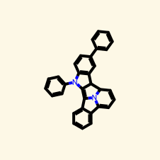 C1=CC2C3C(=c4c5ccccc5c(n42)=C1)N(c1ccccc1)c1ccc(-c2ccccc2)cc13